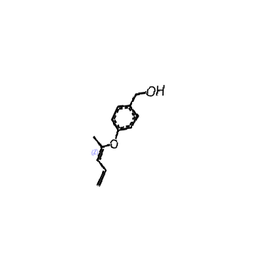 C=C/C=C(/C)Oc1ccc(CO)cc1